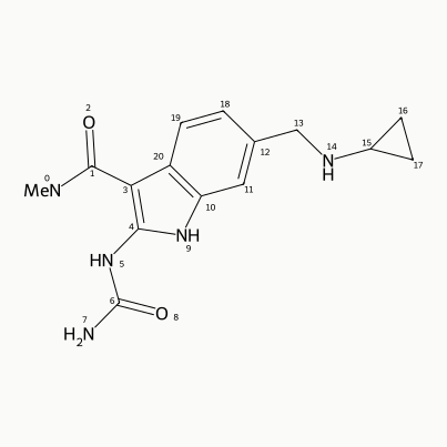 CNC(=O)c1c(NC(N)=O)[nH]c2cc(CNC3CC3)ccc12